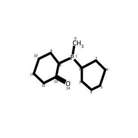 CP(C1CCCCC1)C1CCCCC1=O